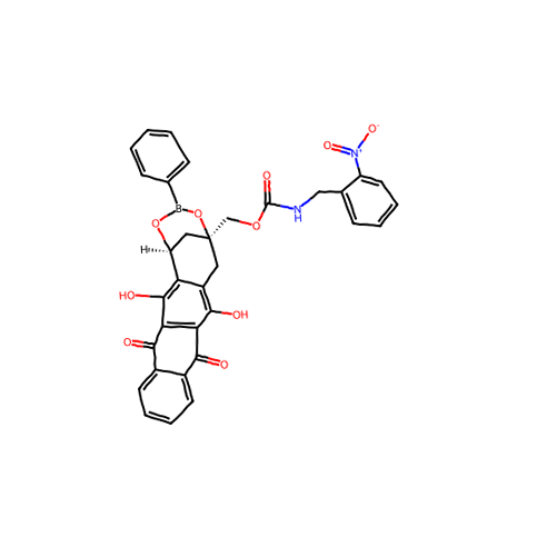 O=C(NCc1ccccc1[N+](=O)[O-])OC[C@]12Cc3c(O)c4c(c(O)c3[C@H](C1)OB(c1ccccc1)O2)C(=O)c1ccccc1C4=O